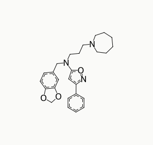 c1ccc(-c2cc(N(CCCN3CCCCCC3)Cc3ccc4c(c3)OCO4)on2)cc1